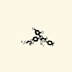 Cc1c(C(=S)NC2CCC(F)(F)CC2)nc(-c2ccc(Cl)cc2Cl)n1-c1ccc(OS(=O)(=O)CCC(F)(F)F)cc1